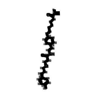 CNC(=O)CCCCCCc1ccc(CCNC(=O)CCOCCCc2ccc(C)cc2)cc1